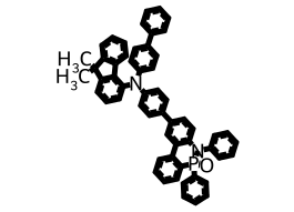 CC1(C)c2ccccc2-c2c(N(c3ccc(-c4ccccc4)cc3)c3ccc(-c4ccc5c(c4)-c4ccccc4P(=O)(c4ccccc4)N5c4ccccc4)cc3)cccc21